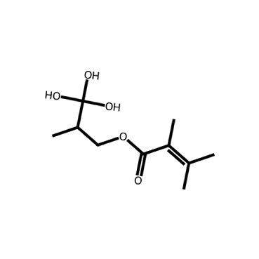 CC(C)=C(C)C(=O)OCC(C)C(O)(O)O